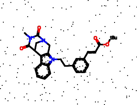 CN1C(=O)C2CN(Cc3c2c2ccccc2n3CCc2cccc(/C=C/C(=O)OC(C)(C)C)c2)C1=O